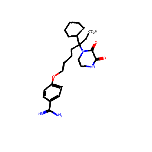 N=C(N)c1ccc(OCCCCC(CC(=O)O)(C2CCCCC2)N2CCNC(=O)C2=O)cc1